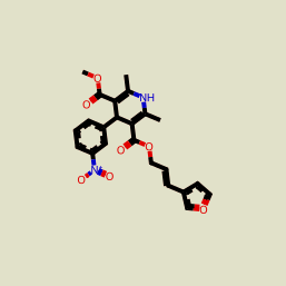 COC(=O)C1=C(C)NC(C)=C(C(=O)OCC=Cc2ccoc2)C1c1cccc([N+](=O)[O-])c1